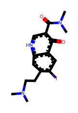 CN(C)CCc1cc2[nH]cc(C(=O)N(C)C)c(=O)c2cc1I